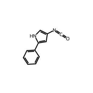 O=C=Nc1c[nH]c(-c2ccccc2)c1